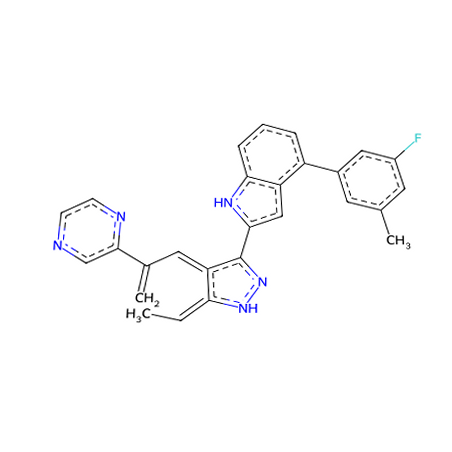 C=C(/C=c1/c(-c2cc3c(-c4cc(C)cc(F)c4)cccc3[nH]2)n[nH]/c1=C/C)c1cnccn1